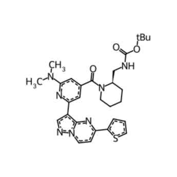 CN(C)c1cc(C(=O)N2CCCC[C@@H]2CNC(=O)OC(C)(C)C)cc(-c2cnn3ccc(-c4cccs4)nc23)n1